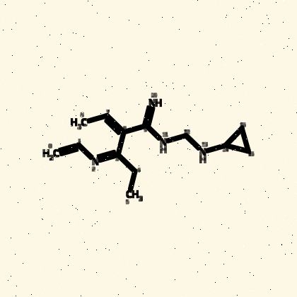 C=C/N=C(CC)\C(=C/C)C(=N)NCNC1CC1